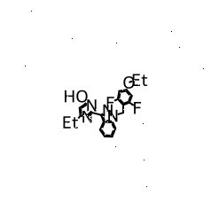 CCOc1cc(F)c(Cn2nc(-c3nc(O)cc(CC)n3)c3ccccc32)c(F)c1